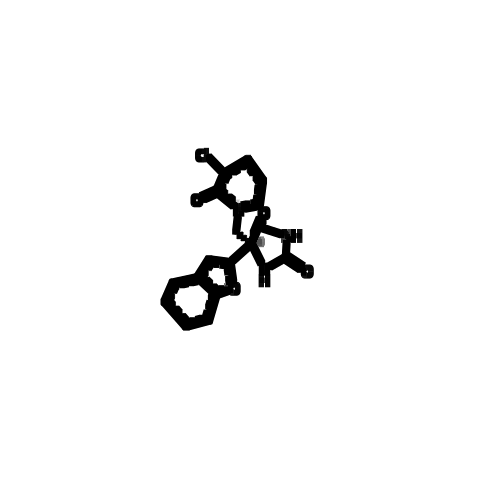 O=C1NC(=O)[C@](Cn2cccc(Cl)c2=O)(c2cc3ccccc3o2)N1